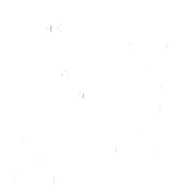 CCO[Si](CCC(F)(F)F)(CCC(F)(F)F)CCC(F)(F)F